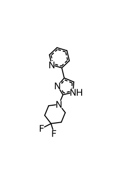 FC1(F)CCN(c2nc(-c3ccccn3)c[nH]2)CC1